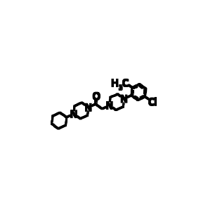 Cc1ccc(Cl)cc1N1CCN(CC(=O)N2CCN(C3CCCCC3)CC2)CC1